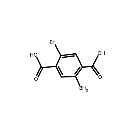 Bc1cc(C(=O)O)c(Br)cc1C(=O)O